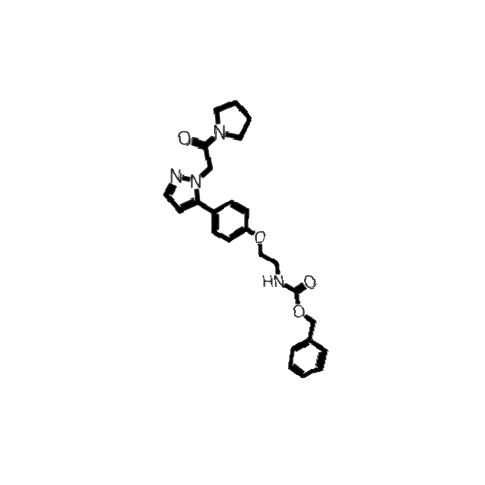 O=C(NCCOc1ccc(-c2ccnn2CC(=O)N2CCCC2)cc1)OCc1ccccc1